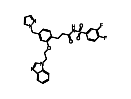 O=C(CCc1ccc(Cn2cccn2)cc1OCCn1cnc2ccccc21)NS(=O)(=O)c1ccc(F)c(F)c1